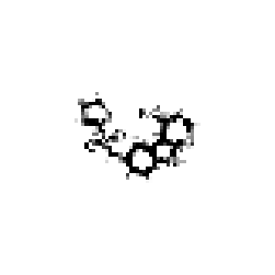 O=S(=O)(Cc1ccc2[nH]c3nccc(Br)c3c2c1)C1=CCCS1